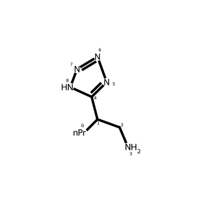 CCCC(CN)c1nnn[nH]1